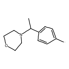 [CH2]c1ccc(C(C)N2CCOCC2)cc1